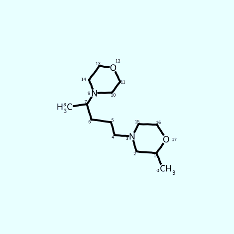 CC1CN(CCCC(C)N2CCOCC2)CCO1